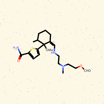 COC1(c2ccc(C(N)=O)s2)/C(=C\NCCN(C)CCOC=O)CCCC1C